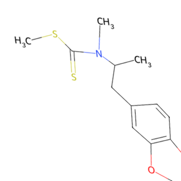 CSC(=S)N(C)C(C)Cc1ccc2c(c1)OCO2